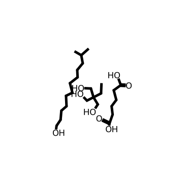 CC(C)CCCCCCCCCCO.CCC(CO)(CO)CO.O=C(O)CCCCC(=O)O